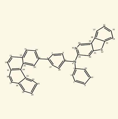 c1ccc(N(c2ccc(-c3ccc4ccc5ccc6ccccc6c5c4c3)cc2)c2cc3sc4ccccc4c3cn2)cc1